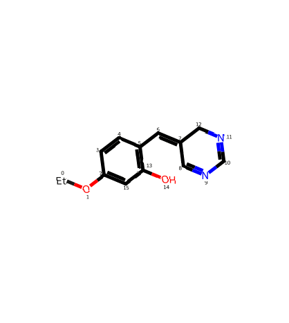 CCOc1ccc(C=C2C=NC=NC2)c(O)c1